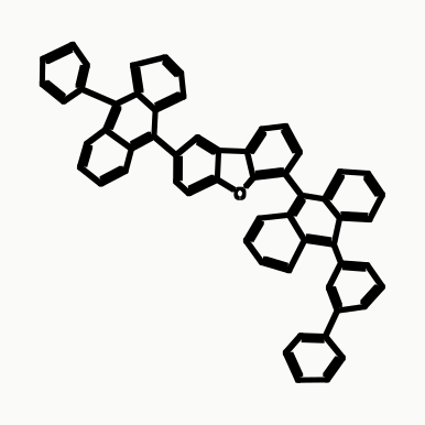 c1ccc(-c2cccc(-c3c4ccccc4c(-c4cccc5c4oc4ccc(-c6c7ccccc7c(-c7ccccc7)c7ccccc67)cc45)c4ccccc34)c2)cc1